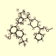 CO/N=C(\c1ncccn1)C1CCN(C(=O)c2nc(-c3ccc(OC)c4nc(C(F)(F)F)ccc34)oc2[C@H](C)N)CC1